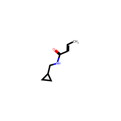 C/C=C/C(=O)NCC1CC1